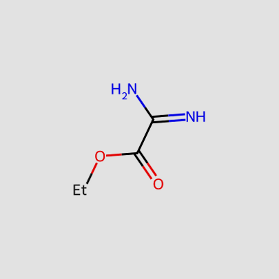 CCOC(=O)C(=N)N